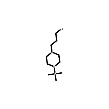 [Li][CH2]CCN1CCN([Si](C)(C)C)CC1